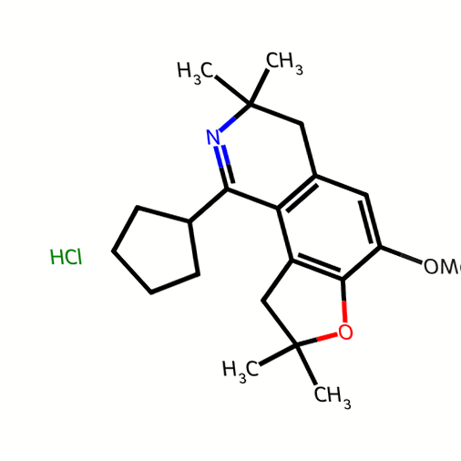 COc1cc2c(c3c1OC(C)(C)C3)C(C1CCCC1)=NC(C)(C)C2.Cl